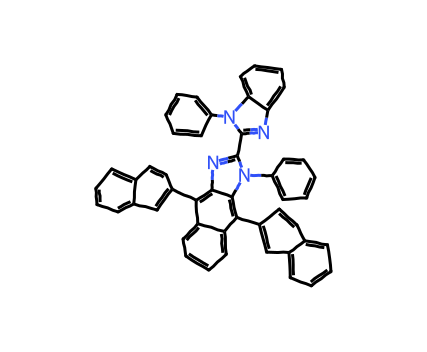 c1ccc(-n2c(-c3nc4c(-c5ccc6ccccc6c5)c5ccccc5c(-c5ccc6ccccc6c5)c4n3-c3ccccc3)nc3ccccc32)cc1